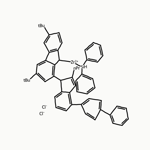 CCCC1=Cc2c(-c3ccc(-c4ccccc4)cc3)cccc2C1c1cc(C(C)(C)C)cc2c1[CH]([Zr+2][SiH](c1ccccc1)c1ccccc1)c1ccc(C(C)(C)C)cc1-2.[Cl-].[Cl-]